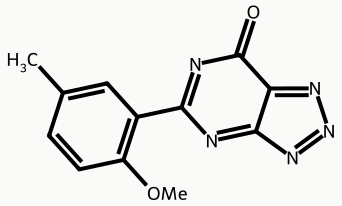 COc1ccc(C)cc1C1=NC(=O)C2=NN=NC2=N1